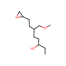 CCC(O)CCC(CCC1CO1)COC